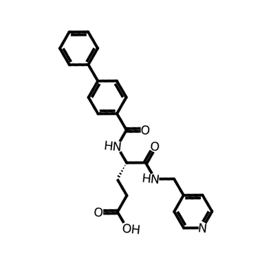 O=C(O)CC[C@H](NC(=O)c1ccc(-c2ccccc2)cc1)C(=O)NCc1ccncc1